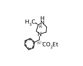 CCOC(=O)[C@H](c1ccccc1)N1CCN[C@H](C)C1